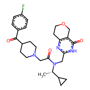 C[C@@H](C1CC1)N(Cc1nc2c(c(=O)[nH]1)COCC2)C(=O)CN1CCC(C(=O)c2ccc(F)cc2)CC1